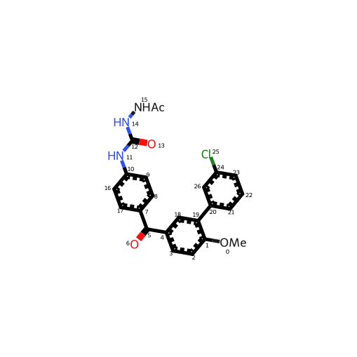 COc1ccc(C(=O)c2ccc(NC(=O)NNC(C)=O)cc2)cc1-c1cccc(Cl)c1